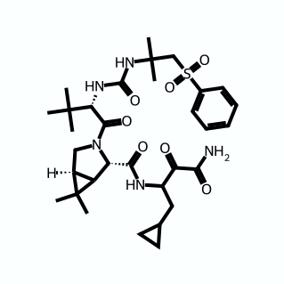 CC(C)(CS(=O)(=O)c1ccccc1)NC(=O)N[C@H](C(=O)N1C[C@H]2C([C@H]1C(=O)NC(CC1CC1)C(=O)C(N)=O)C2(C)C)C(C)(C)C